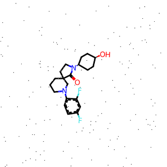 O=C1N([C@H]2CC[C@H](O)CC2)CCC12CCCN(c1ccc(F)cc1F)C2